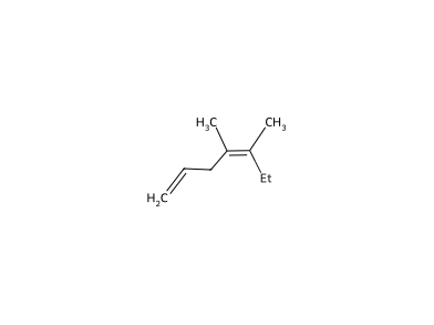 C=CCC(C)=C(C)CC